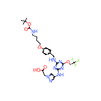 CC(C)(C)OC(=O)NCCCCOc1ccc(CNc2nc(Nc3cnn(CC(=O)O)c3)nc(OCC(F)(F)F)n2)cc1